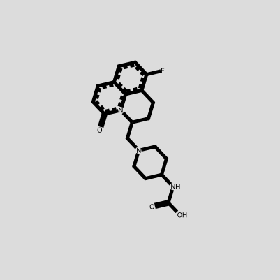 O=C(O)NC1CCN(CC2CCc3c(F)ccc4ccc(=O)n2c34)CC1